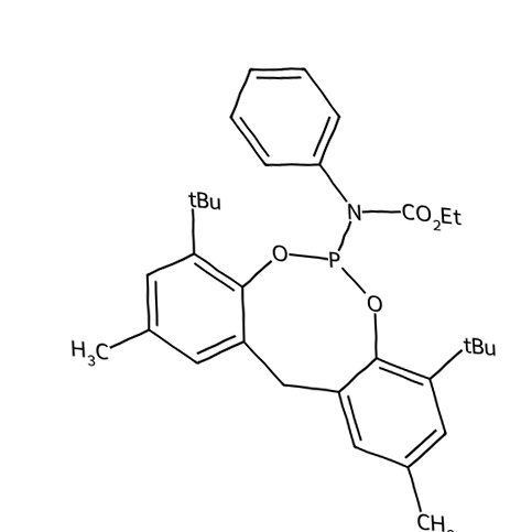 CCOC(=O)N(c1ccccc1)P1Oc2c(cc(C)cc2C(C)(C)C)Cc2cc(C)cc(C(C)(C)C)c2O1